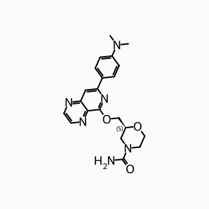 CN(C)c1ccc(-c2cc3nccnc3c(OC[C@@H]3CN(C(N)=O)CCO3)n2)cc1